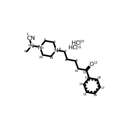 CN(C#N)N1CCN(CCCCC(=O)c2ccccc2)CC1.Cl.Cl